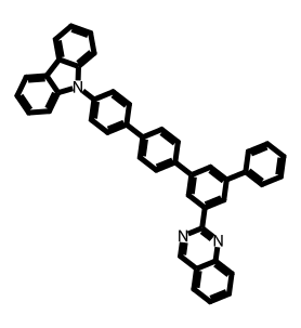 c1ccc(-c2cc(-c3ccc(-c4ccc(-n5c6ccccc6c6ccccc65)cc4)cc3)cc(-c3ncc4ccccc4n3)c2)cc1